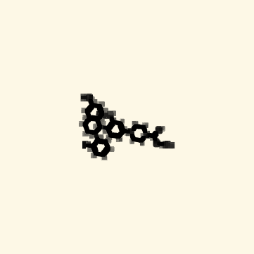 COc1cc(N2CCN(C(=O)OC(C)(C)C)CC2)ccc1[C@@H]1c2ccc(O)cc2CC[C@@H]1c1ccccc1F